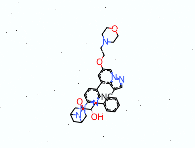 N#Cc1cnn2cc(OCCN3CCOCC3)cc(-c3ccc(N4CC5CC(C4)N5C(=O)[C@@H](O)Cc4ccccc4)nc3)c12